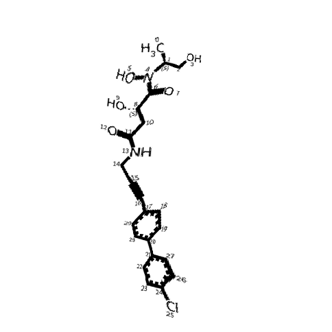 C[C@@H](CO)N(O)C(=O)[C@@H](O)CC(=O)NCC#Cc1ccc(-c2ccc(Cl)cc2)cc1